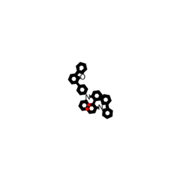 c1ccc(N(c2ccc(-c3cccc4c3oc3ccccc34)cc2)c2ccccc2-c2ccccc2-n2c3ccccc3c3ccccc32)cc1